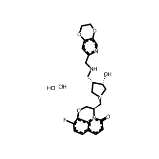 Cl.Cl.O=c1ccc2ccc(F)c3c2n1[C@H](CN1C[C@H](CNCc2cc4c(cn2)OCCO4)[C@H](O)C1)CO3